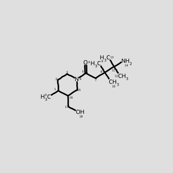 CC1CCN(C(=O)CC(C)(C)C(C)(C)N)CC1CO